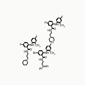 Cc1cc(I)ccc1Nc1ccc(Br)cc1C(=O)NCCN(C(C)C)C(C)C.Cc1cc(I)ccc1Nc1ccc(F)cc1C(=O)NCCCN1CCCCC1.Cc1cc(I)ccc1Nc1ccc(F)cc1C(=O)NCCN1CCOCC1